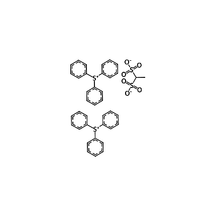 CC(S(=O)(=O)[O-])S(=O)(=O)[O-].c1ccc([S+](c2ccccc2)c2ccccc2)cc1.c1ccc([S+](c2ccccc2)c2ccccc2)cc1